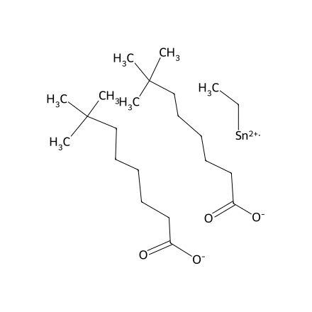 CC(C)(C)CCCCCC(=O)[O-].CC(C)(C)CCCCCC(=O)[O-].C[CH2][Sn+2]